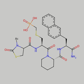 CC(=O)N1C(=O)SCC1C(=O)N[C@@H](CSCP(=O)(O)O)C(=O)N1CCCC[C@H]1C(=O)N[C@@H](Cc1ccc2ccccc2c1)C(N)=O